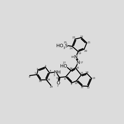 Cc1ccc(NC(=O)c2cc3ccccc3c(N=Nc3ccccc3S(=O)(=O)O)c2O)c(C)c1